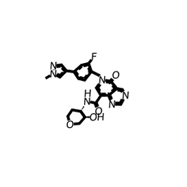 Cn1cc(-c2ccc(Cn3cc(C(=O)N[C@H]4CCOC[C@@H]4O)c4ncncc4c3=O)c(F)c2)cn1